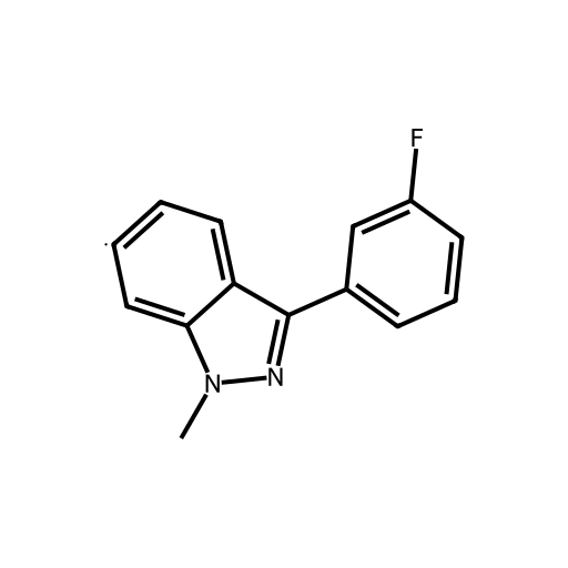 Cn1nc(-c2cccc(F)c2)c2cc[c]cc21